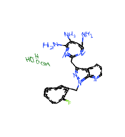 Cl.Cl.Cl.Nc1nc(-c2nn(Cc3ccccc3F)c3ncccc23)nc(N)c1N